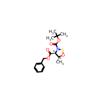 C[C@H]1OSN(C(=O)OC(C)(C)C)[C@@H]1C(=O)OCc1ccccc1